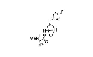 CCC[C@H](NC)C(=O)N[C@@H]1CC[C@H]2CN(Cc3ccc(F)cc3)C[C@H]21